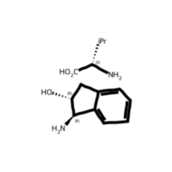 CC(C)[C@H](N)C(=O)O.N[C@@H]1c2ccccc2C[C@H]1O